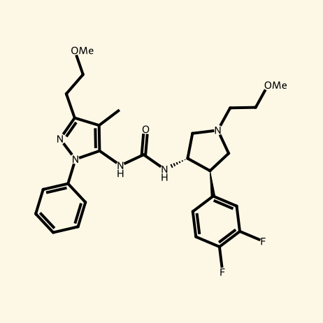 COCCc1nn(-c2ccccc2)c(NC(=O)N[C@@H]2CN(CCOC)C[C@H]2c2ccc(F)c(F)c2)c1C